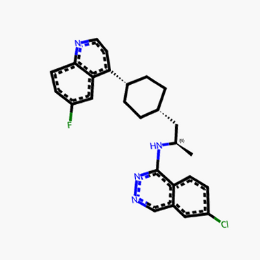 C[C@H](C[C@H]1CC[C@@H](c2ccnc3ccc(F)cc32)CC1)Nc1nncc2cc(Cl)ccc12